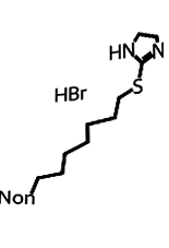 Br.CCCCCCCCCCCCCCCCSC1=NCCN1